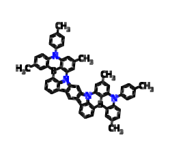 Cc1ccc(N2c3ccc(C)cc3B3c4c2cc(C)cc4-n2c4cc5c(cc4c4cccc3c42)c2cccc3c2n5-c2cc(C)cc4c2B3c2cc(C)ccc2N4c2ccc(C)cc2)cc1